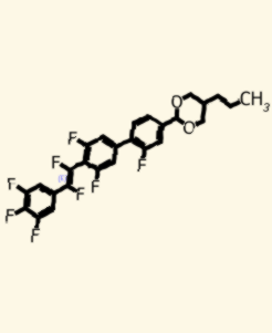 CCCC1COC(c2ccc(-c3cc(F)c(/C(F)=C(\F)c4cc(F)c(F)c(F)c4)c(F)c3)c(F)c2)OC1